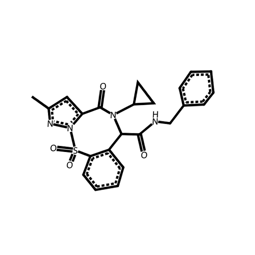 Cc1cc2n(n1)S(=O)(=O)c1ccccc1C(C(=O)NCc1ccccc1)N(C1CC1)C2=O